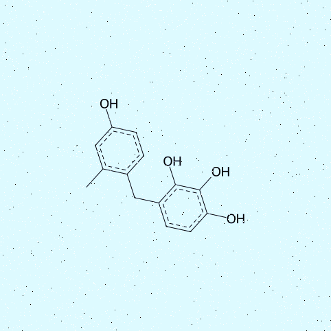 Cc1cc(O)ccc1Cc1ccc(O)c(O)c1O